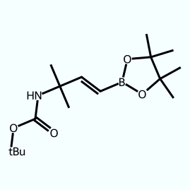 CC(C)(/C=C/B1OC(C)(C)C(C)(C)O1)NC(=O)OC(C)(C)C